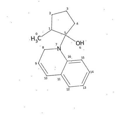 CC1CCCC1(O)N1CC=Cc2ccccc21